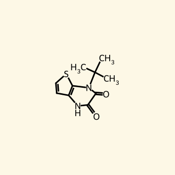 CC(C)(C)n1c(=O)c(=O)[nH]c2ccsc21